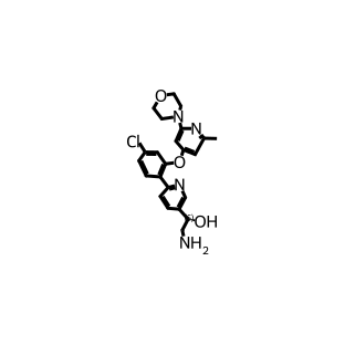 Cc1cc(Oc2cc(Cl)ccc2-c2ccc([C@H](O)CN)cn2)cc(N2CCOCC2)n1